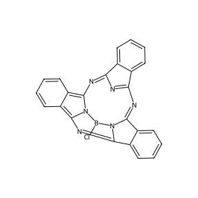 ClB1n2c3c4ccccc4c2/N=C2N=C(/N=c4/c5ccccc5c(n41)=N3)c1ccccc1\2